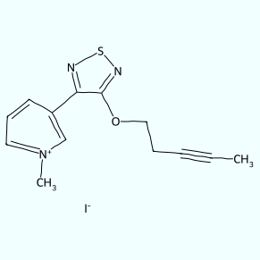 CC#CCCOc1nsnc1-c1ccc[n+](C)c1.[I-]